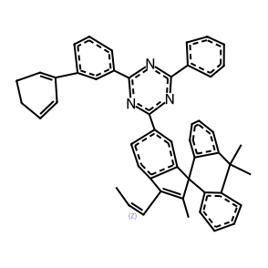 C/C=C\C1=C(C)C2(c3cc(-c4nc(-c5ccccc5)nc(-c5cccc(C6=CCCC=C6)c5)n4)ccc31)c1ccccc1C(C)(C)c1ccccc12